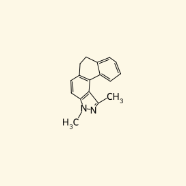 Cc1nn(C)c2ccc3c(c12)-c1ccccc1CC3